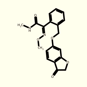 CNC(=O)C(=NOC)c1ccccc1COc1ccc2c(c1)OCC2=O